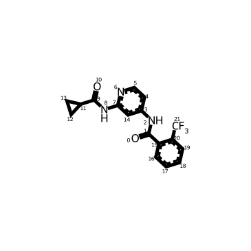 O=C(Nc1ccnc(NC(=O)C2CC2)c1)c1ccccc1C(F)(F)F